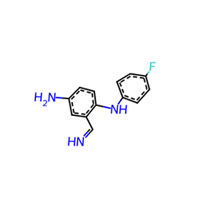 N=Cc1cc(N)ccc1Nc1ccc(F)cc1